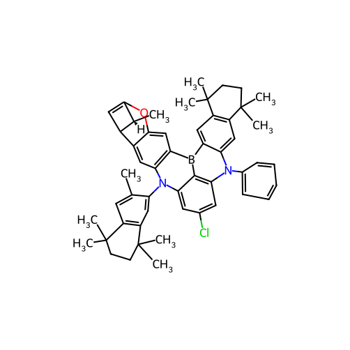 Cc1cc2c(cc1N1c3cc4c(cc3B3c5cc6c(cc5N(c5ccccc5)c5cc(Cl)cc1c53)C(C)(C)CCC6(C)C)OC1=CC4[C@H]1C)C(C)(C)CCC2(C)C